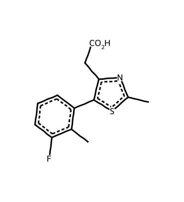 Cc1nc(CC(=O)O)c(-c2cccc(F)c2C)s1